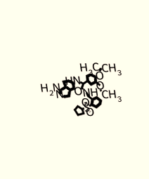 CCOc1cc(C(Nc2ccc3c(N)nccc3c2)C(=O)NCc2ccccc2S(=O)(=O)C2CCCC2)ccc1OC(C)C